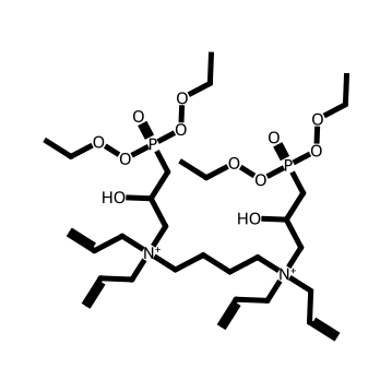 C=CC[N+](CC=C)(CCCC[N+](CC=C)(CC=C)CC(O)CP(=O)(OOCC)OOCC)CC(O)CP(=O)(OOCC)OOCC